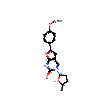 CCCCCCCOc1ccc(-c2cc3cn([C@H]4CCC(C)O4)c(=O)nc3o2)cc1